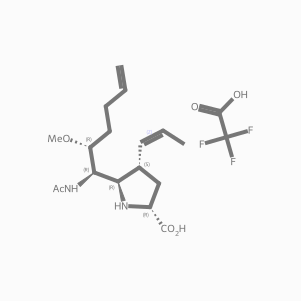 C=CCC[C@@H](OC)[C@H](NC(C)=O)[C@@H]1N[C@@H](C(=O)O)C[C@H]1/C=C\C.O=C(O)C(F)(F)F